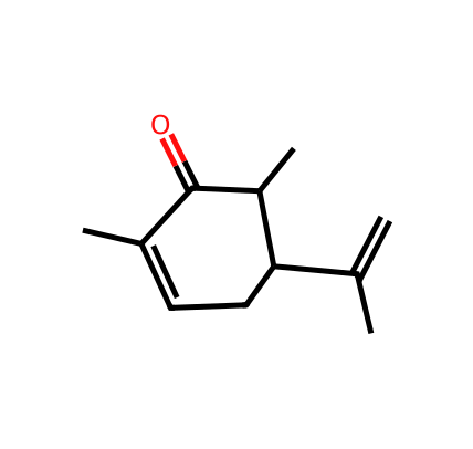 C=C(C)C1CC=C(C)C(=O)C1C